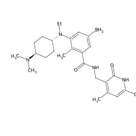 Bc1cc(C(=O)NCc2c(C)cc(C)[nH]c2=O)c(C)c(N(CC)[C@H]2CC[C@H](N(C)C)CC2)c1